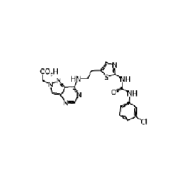 O=C(O)Cn1cc2ncnc(NCCc3cnc(NC(=O)Nc4cccc(Cl)c4)s3)c2n1